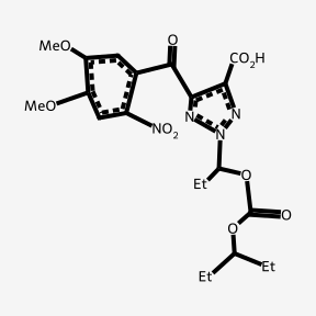 CCC(CC)OC(=O)OC(CC)n1nc(C(=O)O)c(C(=O)c2cc(OC)c(OC)cc2[N+](=O)[O-])n1